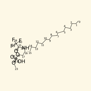 CCCCCCCCCCCCCCCC[C@H](COP(=O)(O)OC)NC(=O)C(F)(F)F